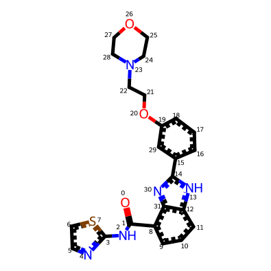 O=C(Nc1nccs1)c1cccc2[nH]c(-c3cccc(OCCN4CCOCC4)c3)nc12